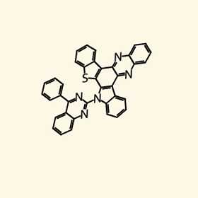 c1ccc(-c2nc(-n3c4ccccc4c4c5nc6ccccc6nc5c5c6ccccc6sc5c43)nc3ccccc23)cc1